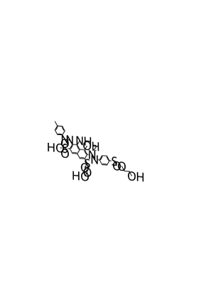 Cc1ccc(N=Nc2c(S(=O)(=O)O)cc3cc(SOOO)c(N=Nc4ccc(SOOCCO)cc4)c(O)c3c2N)cc1